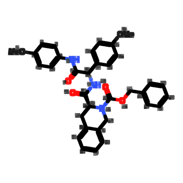 COc1ccc(NC(=O)[C@@H](NC(=O)[C@@H]2Cc3ccccc3CN2C(=O)OCc2ccccc2)c2ccc(OC)cc2)cc1